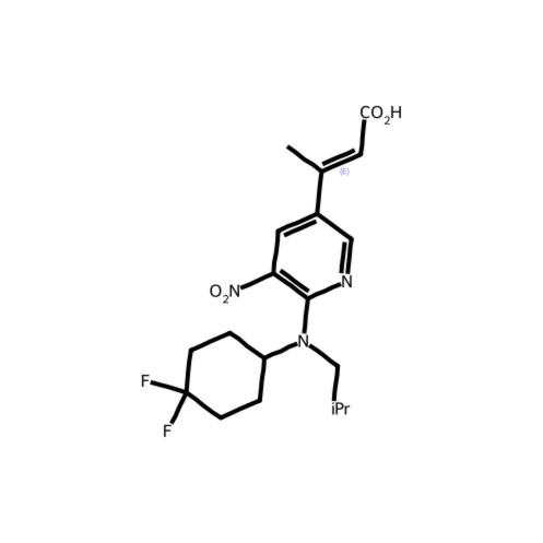 C/C(=C\C(=O)O)c1cnc(N(CC(C)C)C2CCC(F)(F)CC2)c([N+](=O)[O-])c1